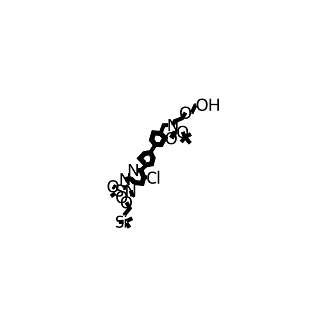 CC(C)(C)OC(=O)N(CCOCCO)Cc1ccc(-c2ccc(-c3nc4nc(S(C)(=O)=O)n(COCC[Si](C)(C)C)c4cc3Cl)cc2)cc1